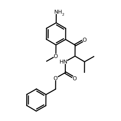 COc1ccc(N)cc1C(=O)C(NC(=O)OCc1ccccc1)C(C)C